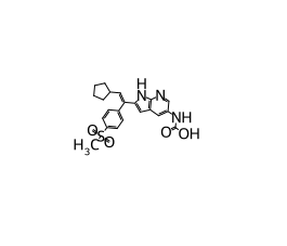 CS(=O)(=O)c1ccc(C(=CC2CCCC2)c2cc3cc(NC(=O)O)cnc3[nH]2)cc1